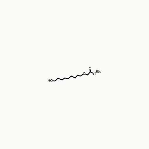 CC(C)(C)OC(=O)COCCCCCCCCCO